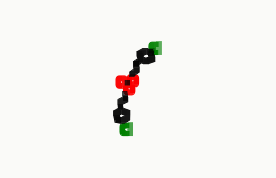 O=C(OCC=Cc1ccc(Cl)cc1)OCC=Cc1ccc(Cl)cc1